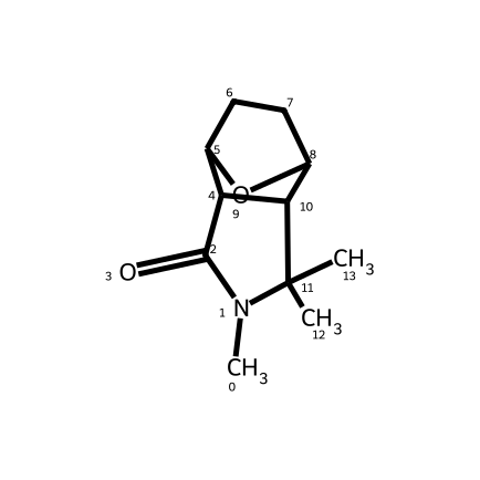 CN1C(=O)C2C3CCC(O3)C2C1(C)C